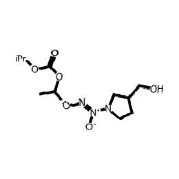 CC(C)OC(=O)OC(C)ON=[N+]([O-])N1CCC(CO)C1